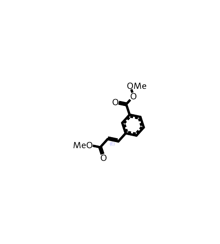 COOC(=O)c1cccc(/C=C/C(=O)OC)c1